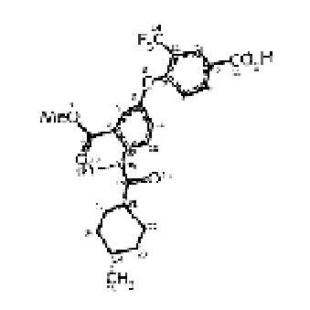 COC(=O)c1cc(Oc2ccc(C(=O)O)cc2C(F)(F)F)ccc1N(C(=O)[C@H]1CC[C@H](C)CC1)C(C)C